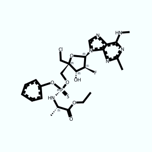 CCOC(=O)[C@H](C)N[P@@](=S)(OC[C@@]1(CCl)O[C@@H](n2cnc3c(NC)nc(C)nc32)[C@@H](F)[C@@H]1O)Oc1ccccc1